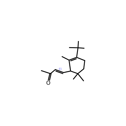 CC(=O)/C=C/C1C(C)=C(C(C)(C)C)CCC1(C)C